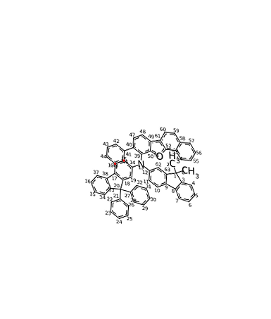 CC1(C)c2ccccc2-c2ccc(N(c3ccc4c(c3)C(c3ccccc3)(c3ccccc3)c3ccccc3-4)c3c(-c4ccccc4)ccc4c3oc3c5ccccc5ccc43)cc21